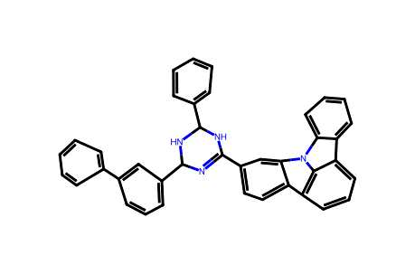 c1ccc(-c2cccc(C3N=C(c4ccc5c6cccc7c8ccccc8n(c5c4)c76)NC(c4ccccc4)N3)c2)cc1